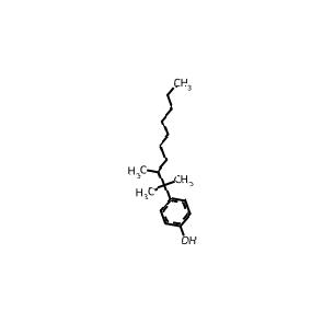 CCCCCCCC(C)C(C)(C)c1ccc(O)cc1